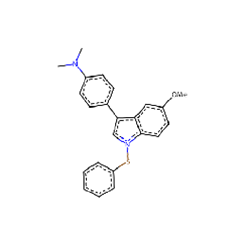 COc1ccc2c(c1)c(-c1ccc(N(C)C)cc1)cn2Sc1ccccc1